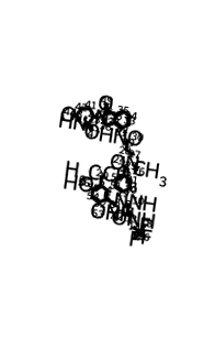 CC(C)c1cc(C(=N)N(C(=N)C(=O)NCC(F)(F)F)c2ccc(C(=O)N(C)CCC(=O)Nc3cccc4c3CN(C3CCC(=O)NC3=O)C4=O)cc2)c(O)cc1O